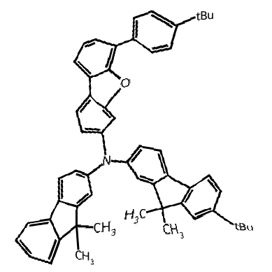 CC(C)(C)c1ccc(-c2cccc3c2oc2cc(N(c4ccc5c(c4)C(C)(C)c4ccccc4-5)c4ccc5c(c4)C(C)(C)c4cc(C(C)(C)C)ccc4-5)ccc23)cc1